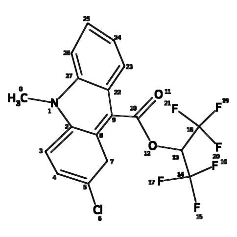 CN1C2=CC=C(Cl)CC2=C(C(=O)OC(C(F)(F)F)C(F)(F)F)c2ccccc21